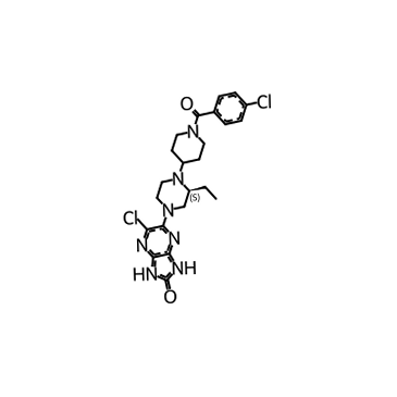 CC[C@H]1CN(c2nc3[nH]c(=O)[nH]c3nc2Cl)CCN1C1CCN(C(=O)c2ccc(Cl)cc2)CC1